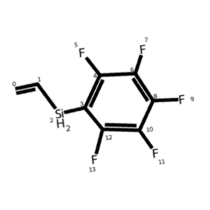 C=C[SiH2]c1c(F)c(F)c(F)c(F)c1F